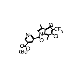 Cc1cn(C(=O)c2cncc(C(=O)OC(C)(C)C)c2)c2c(C)c(Cl)c(C(F)(F)F)c(Cl)c12